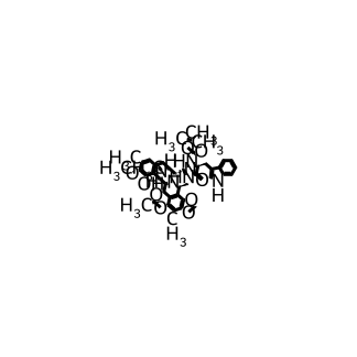 COc1c(C)cc2c(c1O)[C@H]1C3Cc4c(OC(C)=O)c(C)c5c(c4[C@H](CNC(=O)[C@H](Cc4c[nH]c6ccccc46)NC(=O)OC(C)(C)C)N3[C@@H](C#N)[C@@H](C2)N1C)OCO5